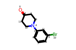 O=C1CCN(c2cccc(Br)c2)CC1